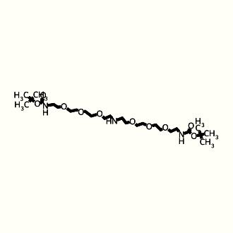 CC(C)(C)OC(=O)NCCOCCOCCOCCNCCOCCOCCOCCNC(=O)OC(C)(C)C